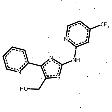 OCc1sc(Nc2cc(C(F)(F)F)ccn2)nc1-c1ccccn1